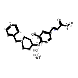 Cl.Cl.Cl.O=C(/C=C/c1cnc(NC2CCN(Cc3ccncc3)CC2)c(Cl)c1)NO